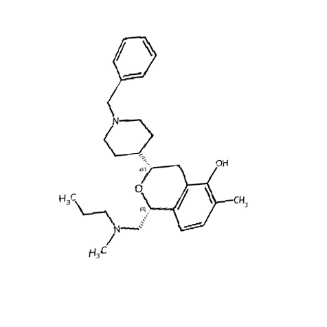 CCCN(C)C[C@@H]1O[C@H](C2CCN(Cc3ccccc3)CC2)Cc2c1ccc(C)c2O